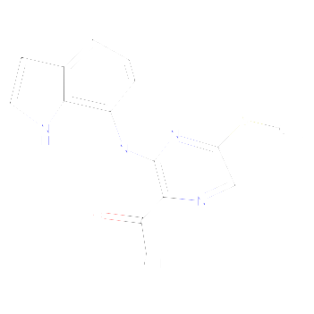 CSc1cnc(C(C)=O)c(Nc2cccc3cc[nH]c23)n1